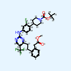 COC(=O)Cc1ccccc1CCc1nc(Nc2ccc(C3CCN(C(=O)OC(C)(C)C)CC3)c(F)c2)ncc1C(F)(F)F